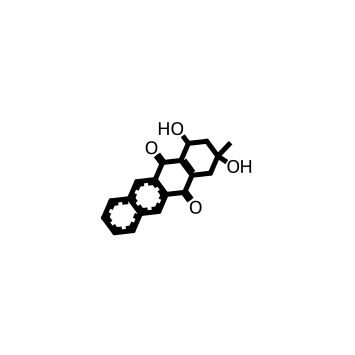 CC1(O)CC2=C(C(=O)c3cc4ccccc4cc3C2=O)C(O)C1